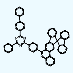 c1ccc(-c2ccc(-c3nc(-c4ccccc4)nc(-c4ccc(-c5nc6ccccc6c6cc7c(cc56)-c5ccccc5C75c6ccccc6-c6ccccc65)cc4)n3)cc2)cc1